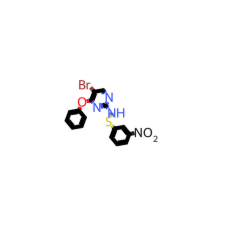 O=[N+]([O-])c1cccc(SNc2ncc(Br)c(Oc3ccccc3)n2)c1